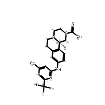 Cc1cc(Nc2ccc3c(c2)CCN2CCN(C(=O)O)C[C@@H]32)nc(C(F)(F)F)n1